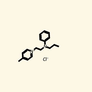 CCCN(CC[n+]1ccc(C)cc1)c1ccccc1.[Cl-]